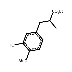 CCOC(=O)C(C)Cc1ccc(OC)c(O)c1